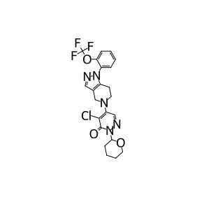 O=c1c(Cl)c(N2CCc3c(cnn3-c3ccccc3OC(F)(F)F)C2)cnn1C1CCCCO1